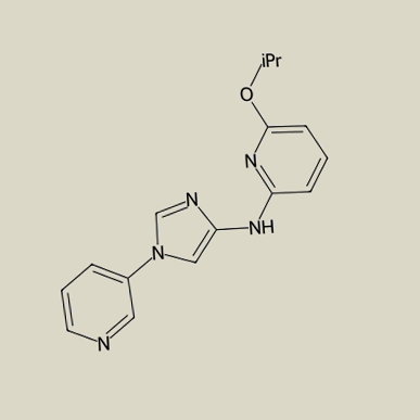 CC(C)Oc1cccc(Nc2cn(-c3cccnc3)cn2)n1